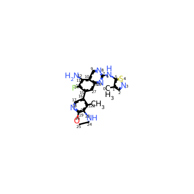 Cc1cnsc1Nc1ncc2c(N)c(F)c(-c3cnc4c(c3C)NCCO4)cc2n1